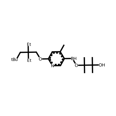 CCC(CC)(COc1cc(C)c(BOC(C)(C)C(C)(C)O)cn1)CC(C)(C)C